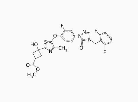 COC(=O)C1CC(O)(c2nc(C)c(Oc3ccc(-n4ncn(Cc5c(F)cccc5F)c4=O)cc3F)s2)C1